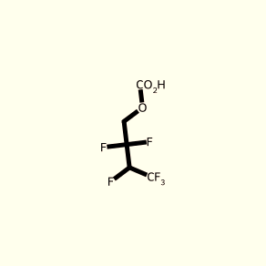 O=C(O)OCC(F)(F)C(F)C(F)(F)F